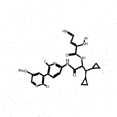 CCc1ncc(OC)cc1-c1ccc(NC(=O)C(NC(=O)/C(=C/C=N)NC(C)C)C(C2CC2)C2CC2)nc1F